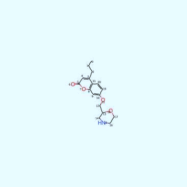 CCCc1cc(=O)oc2cc(OCC3CNCCO3)ccc12